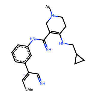 CN/C=C(\C=N)c1cccc(NC(=N)C2=C(NCC3CC3)CCN(C(C)=O)C2)c1